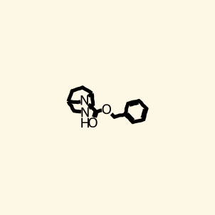 O=C(OCc1ccccc1)N1CC2CCC1CNC2